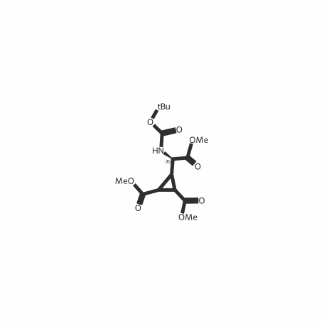 COC(=O)C1C(C(=O)OC)C1[C@@H](NC(=O)OC(C)(C)C)C(=O)OC